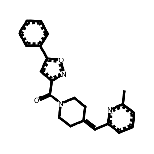 Cc1cccc(C=C2CCN(C(=O)c3cc(-c4ccccc4)on3)CC2)n1